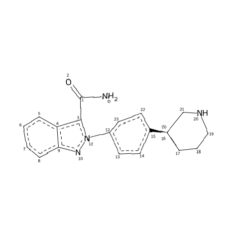 NC(=O)c1c2ccccc2nn1-c1ccc([C@@H]2CCCNC2)cc1